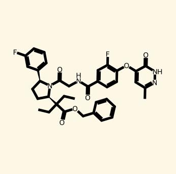 CCC(CC)(C(=O)OCc1ccccc1)[C@H]1CC[C@@H](c2cccc(F)c2)N1C(=O)CNC(=O)c1ccc(Oc2cc(C)n[nH]c2=O)c(F)c1